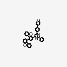 c1ccc(-c2nc(-c3ccc(-c4ccncc4)cc3)cc(-c3ccc(-c4cccc5oc6ccccc6c45)c4c3oc3ccccc34)n2)cc1